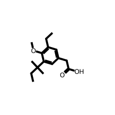 CCc1cc(CC(=O)O)cc(C(C)(C)CC)c1OC